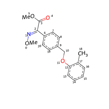 CO/N=C(/C(=O)OC)c1ccc(COc2ccccc2C)cc1